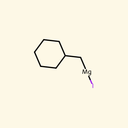 [I][Mg][CH2]C1CCCCC1